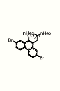 CCCCCCC(CCCCCC)Cc1c(C(=O)OCC)c2cc(Br)ccc2c2ccc(Br)cc12